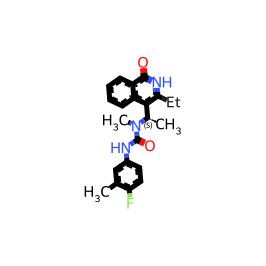 CCc1[nH]c(=O)c2ccccc2c1[C@H](C)N(C)C(=O)Nc1ccc(F)c(C)c1